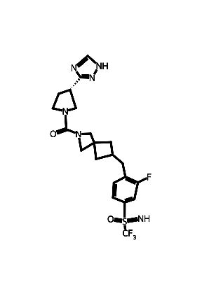 N=S(=O)(c1ccc(CC2CC3(C2)CN(C(=O)N2CC[C@H](c4nc[nH]n4)C2)C3)c(F)c1)C(F)(F)F